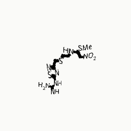 CSC(=C[N+](=O)[O-])NCCSCc1nsc(NC(=N)N)n1